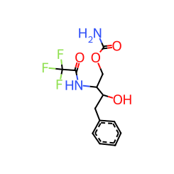 NC(=O)OCC(NC(=O)C(F)(F)F)C(O)Cc1ccccc1